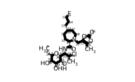 CS[C@H]1O[C@H]([C@H](NC(=O)[C@@H]2CC[C@H](CCCF)CCN2Cc2oc(=O)oc2C)[C@H](C)Cl)[C@H](O)[C@H](O)[C@H]1O